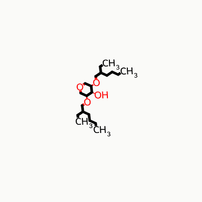 CCCCC(CC)CO[C@H]1COC[C@@H](OCC(CC)CCCC)[C@@H]1O